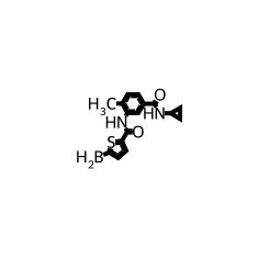 Bc1ccc(C(=O)Nc2cc(C(=O)NC3CC3)ccc2C)s1